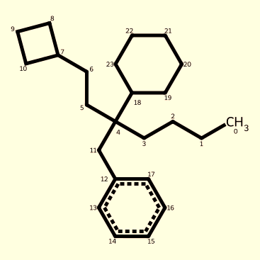 CCCCC(CCC1CCC1)(Cc1ccccc1)C1CCCCC1